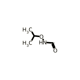 CC(C)ON[C]=O